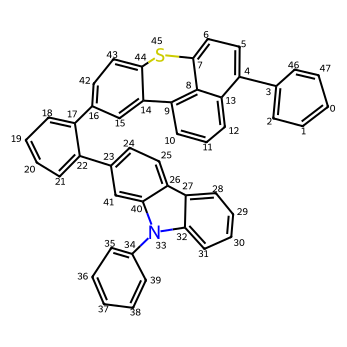 c1ccc(-c2ccc3c4c(cccc24)-c2cc(-c4ccccc4-c4ccc5c6ccccc6n(-c6ccccc6)c5c4)ccc2S3)cc1